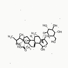 CC(C)[C@@H](C)[C@@]1(C)CC[C@]2(C)[C@H]3CC[C@H]4[C@]5(C)COC(O)[C@@]4(C[C@@H](C)[C@@H]5O[C@@H]4O[C@H](CO)[C@@H](O)[C@H](O)[C@H]4O)C3=CC[C@@]2(C)[C@@H]1C(=O)O